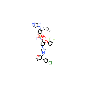 CN1CCC(Nc2ccc(S(=O)(=O)NC(=O)c3ccc(N4CCN(CC5=C(c6ccc(Cl)cc6)CC(C)(C)OC5)CC4)cc3Oc3cccc(F)c3F)cc2[N+](=O)[O-])CC1